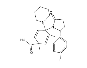 CC1=CC(C)(C(=O)O)C=CC1(N1CCCCC1)N1C(=O)CSC1c1ccc(F)cc1